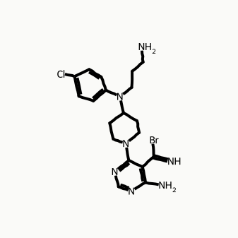 N=C(Br)c1c(N)ncnc1N1CCC(N(CCCN)c2ccc(Cl)cc2)CC1